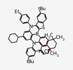 CCc1ccc(N2c3cc(C4CCCCC4)cc4c3B(c3cc5c(cc3N4c3ccc(C(C)(C)C)cc3-c3ccccc3)C(C)(C)CCC5(C)C)c3sc4ccc(C(C)(C)C)cc4c32)cc1